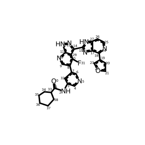 O=C(Nc1cncc(-c2cnc3[nH]nc(-c4nc5c(-c6ccoc6)nccc5[nH]4)c3c2F)c1)C1CCCCC1